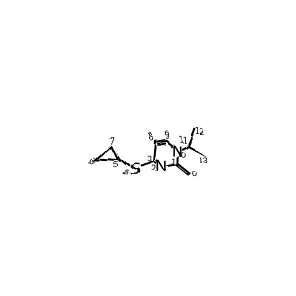 C=C1N=C(SC2CC2)C=CN1C(C)C